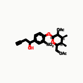 C#CCC(O)c1ccc(O[C@@H]2OC(COC(C)=O)[C@H](C)[C@H](C)C2OC(C)=O)c([N+](=O)[O-])c1